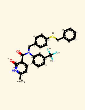 Cc1ccc(C(=O)N(Cc2ccc(SCc3ccccc3)cc2)c2cccc(C(F)(F)F)c2)c(=O)[nH]1